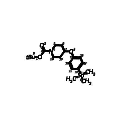 CC(C)(C)OC(=O)N1CCC(Oc2cc[c]([Sn]([CH3])([CH3])[CH3])cc2)CC1